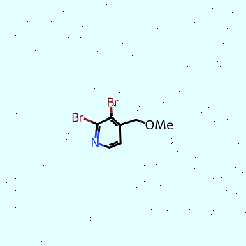 COCc1ccnc(Br)c1Br